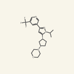 CC(C)n1nc(-c2cncc(C(F)(F)F)c2)cc1[C@H]1CC[C@@H](N2CCOCC2)C1